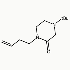 C=CCCN1CCN(C(C)(C)C)CC1=O